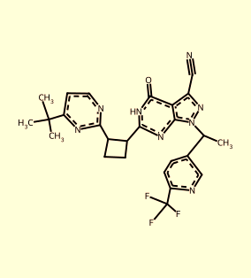 CC(c1ccc(C(F)(F)F)nc1)n1nc(C#N)c2c(=O)[nH]c(C3CCC3c3nccc(C(C)(C)C)n3)nc21